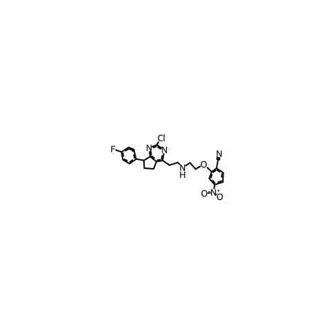 N#Cc1ccc([N+](=O)[O-])cc1OCCNCCc1nc(Cl)nc2c1CCC2c1ccc(F)cc1